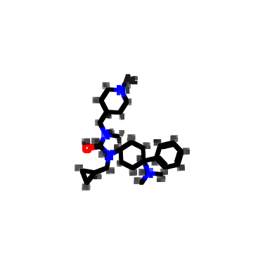 CC(=O)N1CCC(CN2C[C@]3(CC[C@](c4ccccc4)(N(C)C)CC3)N(CC3CC3)C2=O)CC1